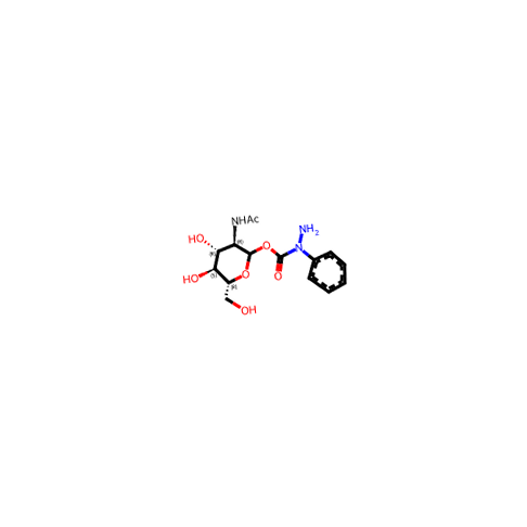 CC(=O)N[C@H]1C(OC(=O)N(N)c2ccccc2)O[C@H](CO)[C@@H](O)[C@@H]1O